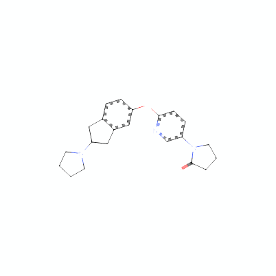 O=C1CCCN1c1ccc(Oc2ccc3c(c2)CC(N2CCCC2)C3)nc1